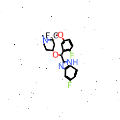 CN1CCC(OC(c2nc3cc(F)ccc3[nH]2)c2cc(OC(F)(F)F)ccc2F)CC1